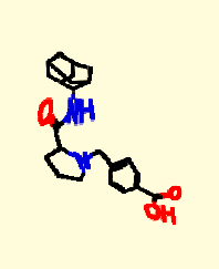 O=C(O)c1ccc(CN2CCCC2C(=O)NC2C3CC4CC(C3)CC2C4)cc1